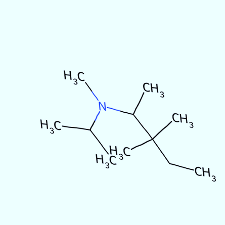 CCC(C)(C)C(C)N(C)C(C)C